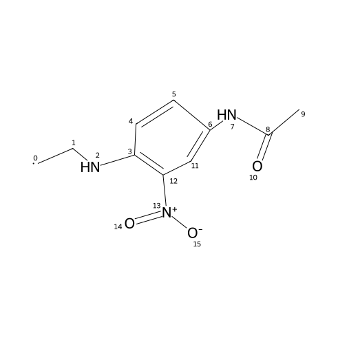 [CH2]CNc1ccc(NC(C)=O)cc1[N+](=O)[O-]